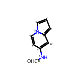 O=CNc1ccn2cccc2c1